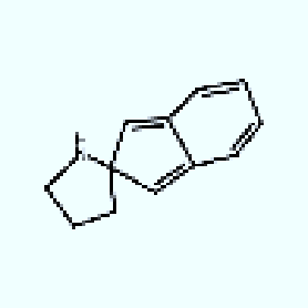 C1=c2ccccc2=CC12CCCN2